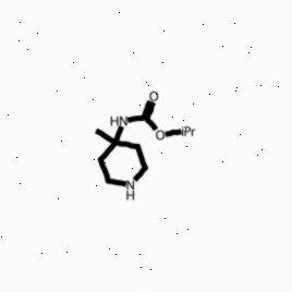 CC(C)OC(=O)NC1(C)CCNCC1